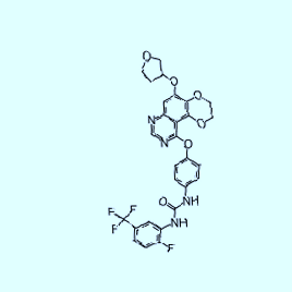 O=C(Nc1ccc(Oc2ncnc3cc(OC4CCOC4)c4c(c23)OCCO4)cc1)Nc1cc(C(F)(F)F)ccc1F